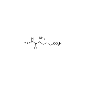 CC(C)(C)NC(=O)C(N)CCCC(=O)O